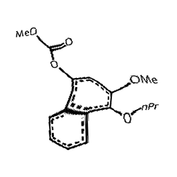 CCCOc1c(OC)cc(OC(=O)OC)c2ccccc12